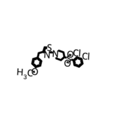 COc1ccc(Cc2csc(N3CCC(S(=O)(=O)c4cccc(Cl)c4Cl)CC3)n2)cc1